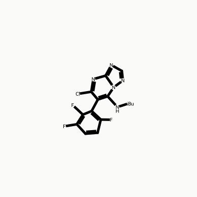 CCC(C)Nc1c(-c2c(F)ccc(F)c2F)c(Cl)nc2ncnn12